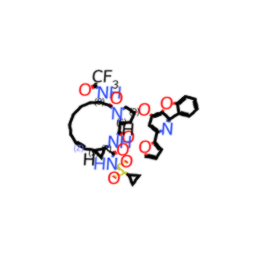 O=C1N[C@]2(C(=O)NS(=O)(=O)C3CC3)C[C@H]2/C=C\CCCCC[C@H](NC(=O)C(F)(F)F)C(=O)N2C[C@H](Oc3cc(-c4ccco4)nc4c3oc3ccccc34)C[C@@H]12